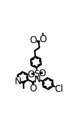 COC(=O)CCc1ccc(S(=O)(=O)N(C(=O)c2cccnc2C)c2ccc(Cl)cc2)cc1